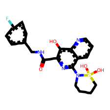 O=C(NCc1ccc(F)cc1)c1nc(N2CCCCS2(O)O)c2cccnc2c1O